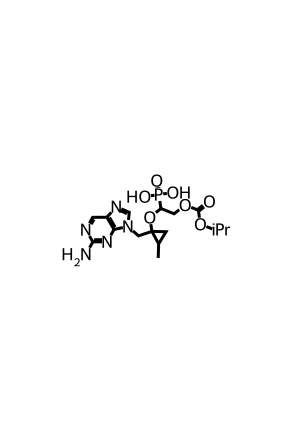 CC(C)OC(=O)OCC(OC1(Cn2cnc3cnc(N)nc32)CC1C)P(=O)(O)O